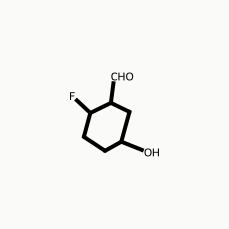 O=CC1CC(O)CCC1F